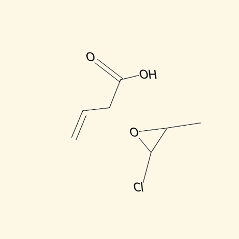 C=CCC(=O)O.CC1OC1Cl